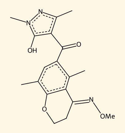 CON=C1CCOc2c(C)cc(C(=O)c3c(C)nn(C)c3O)c(C)c21